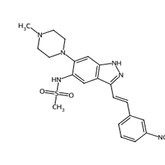 CN1CCN(c2cc3[nH]nc(C=Cc4cccc([N+](=O)[O-])c4)c3cc2NS(C)(=O)=O)CC1